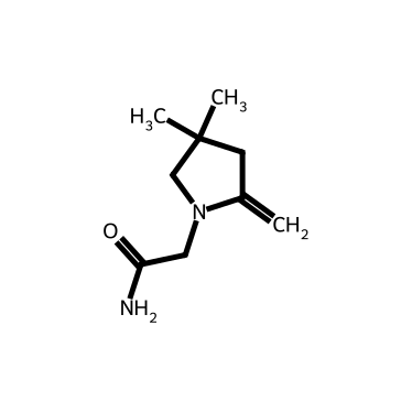 C=C1CC(C)(C)CN1CC(N)=O